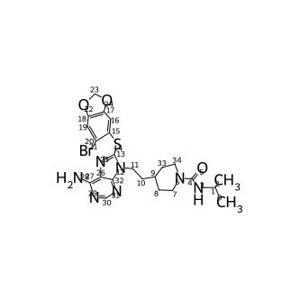 CC(C)NC(=O)N1CCC(CCn2c(Sc3cc4c(cc3Br)OCO4)nc3c(N)ncnc32)CC1